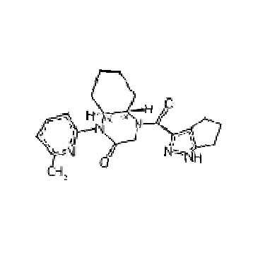 Cc1cccc(N2C(=O)CN(C(=O)c3n[nH]c4c3CCC4)[C@H]3CCCC[C@@H]32)n1